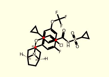 O=C(NS(=O)(=O)C1CC1)c1cc(C2CC2)c(CN2[C@@H]3CC[C@H]2C[C@@H](Oc2cc(Cl)cc(OC(F)(F)F)c2)C3)cc1F